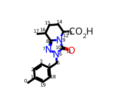 Cc1ccc(Cn2nc3n(c2=O)C(C(=O)O)CCC3C)cc1